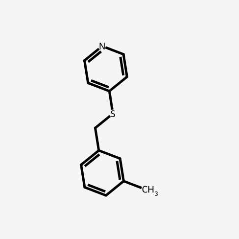 Cc1cccc(CSc2ccncc2)c1